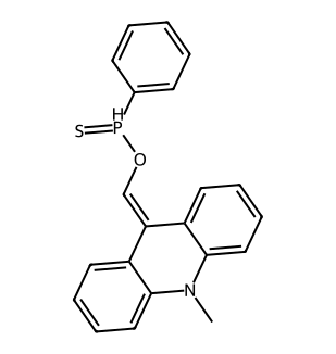 CN1c2ccccc2C(=CO[PH](=S)c2ccccc2)c2ccccc21